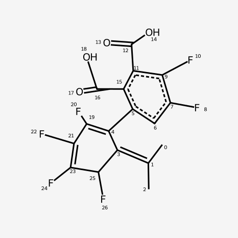 CC(C)=C1C(c2cc(F)c(F)c(C(=O)O)c2C(=O)O)=C(F)C(F)=C(F)C1F